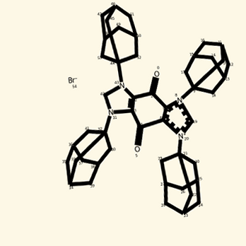 O=C1C2=C(C(=O)c3c1n(C14CC5CC(CC(C5)C1)C4)c[n+]3C13CC4CC(CC(C4)C1)C3)N(C13CC4CC(CC(C4)C1)C3)CN2C12CC3CC(CC(C3)C1)C2.[Br-]